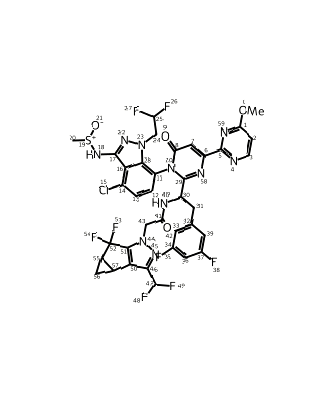 COc1ccnc(-c2cc(=O)n(-c3ccc(Cl)c4c(N[S+](C)[O-])nn(CC(F)F)c34)c(C(Cc3cc(F)cc(F)c3)NC(=O)Cn3nc(C(F)F)c4c3C(F)(F)C3CC43)n2)n1